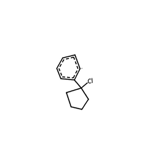 ClC1(c2[c]cccc2)CCCC1